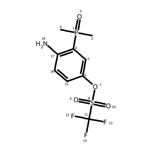 CP(C)(=O)c1cc(OS(=O)(=O)C(F)(F)F)ccc1N